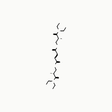 CCN(CC)C(=O)[C@@H](O)COC(=O)/C=C/C(=O)OC[C@H](O)C(=O)N(CC)CC